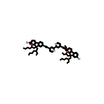 CCCCC(CC)CC1(CC(CC)CCCC)c2cc(Br)ccc2-c2ccc(C#Cc3ccnc(-c4cc(C#Cc5ccc6c(c5)C(CC(CC)CCCC)(CC(CC)CCCC)c5cc(Br)ccc5-6)ccn4)c3)cc21